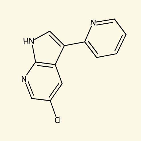 Clc1cnc2[nH]cc(-c3ccccn3)c2c1